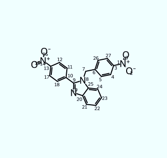 O=[N+]([O-])c1ccc(Cn2c(-c3ccc([N+](=O)[O-])cc3)nc3ccccc32)cc1